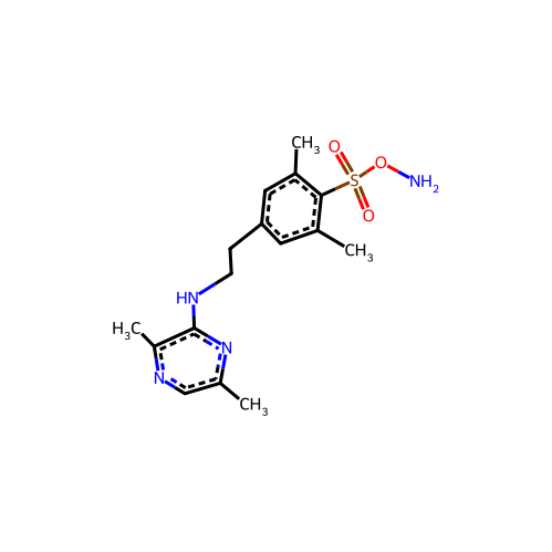 Cc1cnc(C)c(NCCc2cc(C)c(S(=O)(=O)ON)c(C)c2)n1